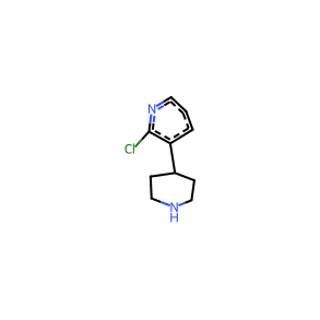 Clc1ncccc1C1CCNCC1